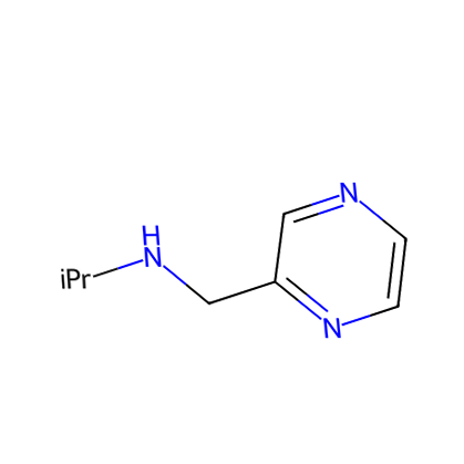 CC(C)NCc1cnccn1